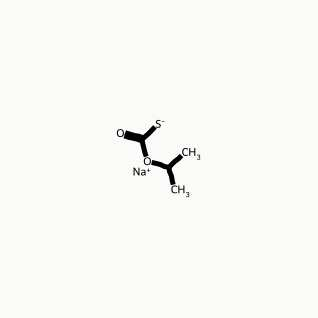 CC(C)OC(=O)[S-].[Na+]